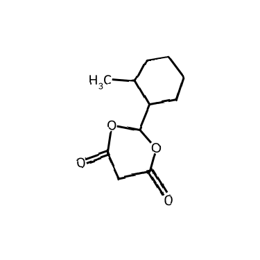 CC1CCCCC1C1OC(=O)CC(=O)O1